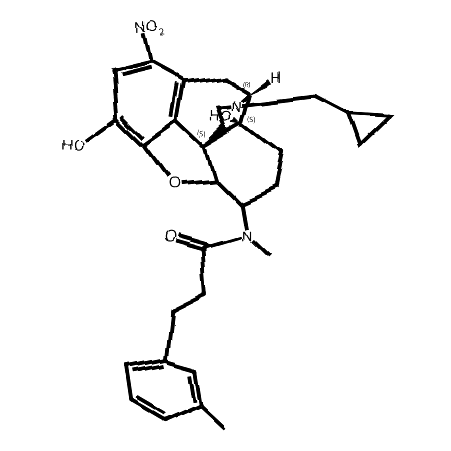 Cc1cccc(CCC(=O)N(C)C2CC[C@@]3(O)[C@H]4Cc5c([N+](=O)[O-])cc(O)c6c5[C@@]3(CCN4CC3CC3)C2O6)c1